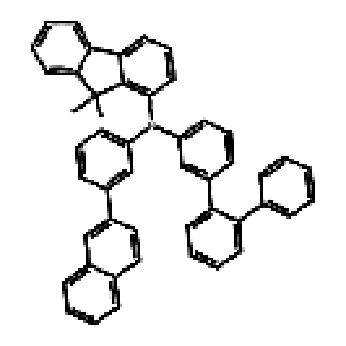 CC1(C)c2ccccc2-c2cccc(N(c3cccc(-c4ccc5ccccc5c4)c3)c3cccc(-c4ccccc4-c4ccccc4)c3)c21